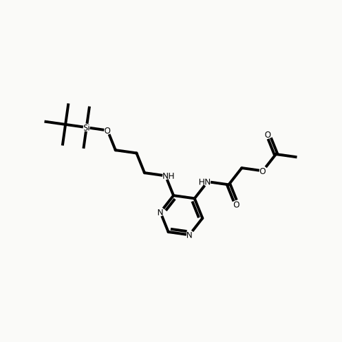 CC(=O)OCC(=O)Nc1cncnc1NCCCO[Si](C)(C)C(C)(C)C